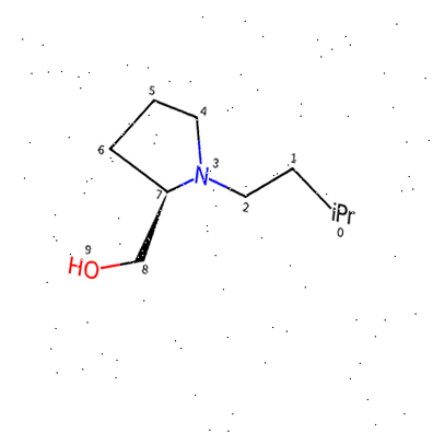 CC(C)CCN1CCC[C@@H]1CO